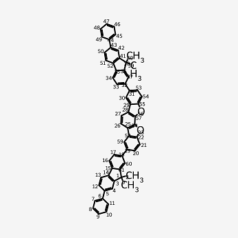 CC1(C)c2cc(-c3ccccc3)ccc2-c2ccc(-c3ccc4oc5c(ccc6c7cc(-c8ccc9c(c8)C(C)(C)c8cc(-c%10ccccc%10)ccc8-9)ccc7oc65)c4c3)cc21